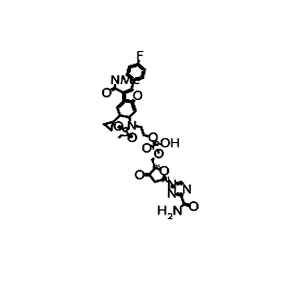 CNC(=O)c1c(-c2ccc(F)cc2)oc2c1=CC(C1CC1)C(N(CCOP(=O)(O)OC[C@H]1O[C@@H](n3cnc(C(N)=O)n3)CC1=O)S(C)(=O)=O)C=2